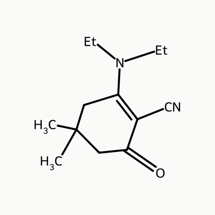 CCN(CC)C1=C(C#N)C(=O)CC(C)(C)C1